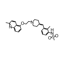 Cc1ccc2c(OCCN3CCC(=Cc4cccc(NS(C)(=O)=O)c4C)CC3)cccc2n1